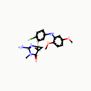 COc1ccc(OC)c(Nc2ccc(F)c([C@]34CC3(C)C(=O)N(C)C(N)=N4)c2)c1